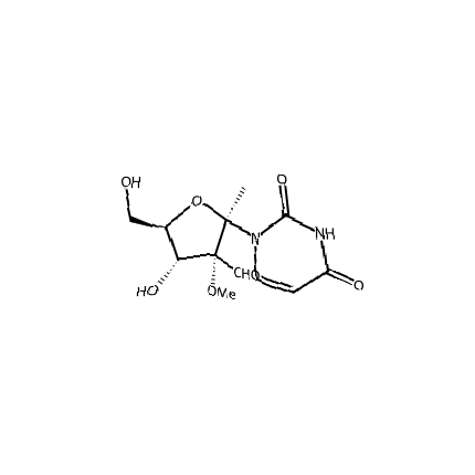 CO[C@]1(C=O)[C@H](O)[C@@H](CO)O[C@@]1(C)n1ccc(=O)[nH]c1=O